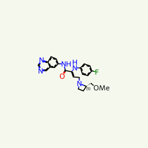 COC[C@@H]1CCN1CC=C(Nc1ccc(F)cc1)C(=O)Nc1ccc2ncncc2c1